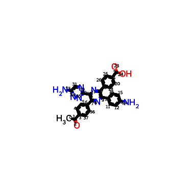 CC(=O)c1ccc(-c2nc(-c3ccc(N)cc3)c(-c3ccc(C(=O)O)cc3)nc2-c2ncc(N)nn2)cc1